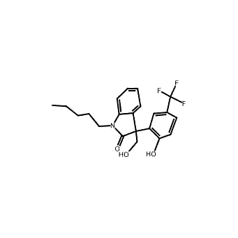 CCCCCN1C(=O)C(CO)(c2cc(C(F)(F)F)ccc2O)c2ccccc21